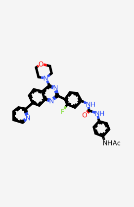 CC(=O)Nc1ccc(NC(=O)Nc2ccc(-c3nc(N4CCOCC4)c4ccc(-c5ccccn5)cc4n3)c(F)c2)cc1